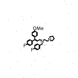 COc1ccc(/C(=C\CN(CCN2CCCC2)[C@H](C)c2ccc(F)cc2)c2ccc(F)cc2)cc1